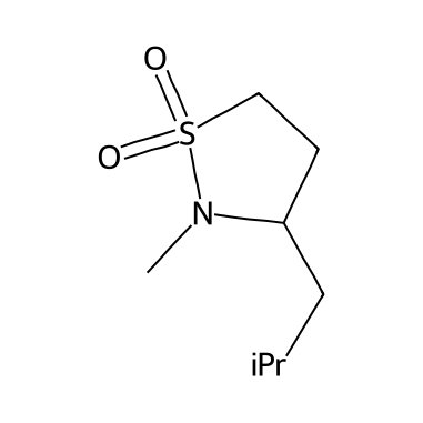 CC(C)CC1CCS(=O)(=O)N1C